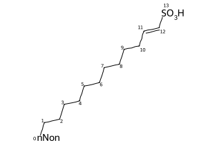 CCCCCCCCCCCCCCCCCCCC=CS(=O)(=O)O